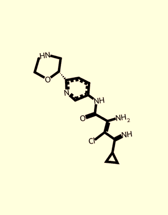 N=C(/C(Cl)=C(\N)C(=O)Nc1ccc([C@H]2CNCCO2)nc1)C1CC1